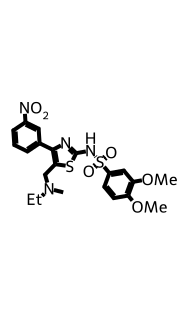 CCN(C)Cc1sc(NS(=O)(=O)c2ccc(OC)c(OC)c2)nc1-c1cccc([N+](=O)[O-])c1